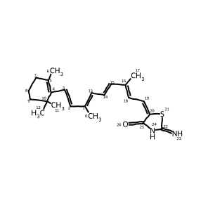 CC(C=CC1=C(C)CCCC1(C)C)=CC=CC(C)=CC=C1SC(=N)NC1=O